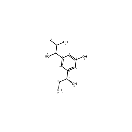 CC(O)C(O)c1cc(O)cc([C@@H](O)CN)c1